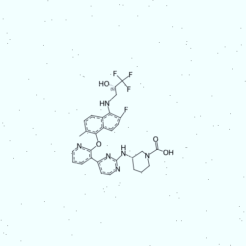 Cc1ccc2c(NC[C@H](O)C(F)(F)F)c(F)ccc2c1Oc1ncccc1-c1ccnc(NC2CCCN(C(=O)O)C2)n1